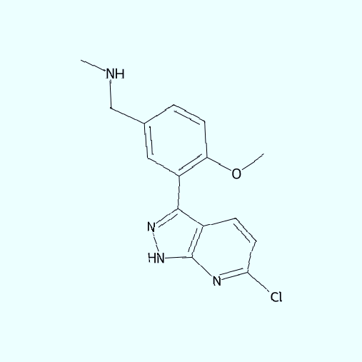 CNCc1ccc(OC)c(-c2n[nH]c3nc(Cl)ccc23)c1